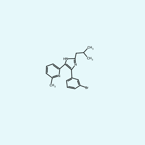 Cc1cccc(-c2[nH]c(CC(C)C)nc2-c2cccc(Br)c2)n1